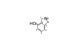 Oc1cccc2c1C[N]C2